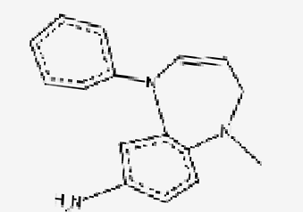 CN1CC=CN(c2ccccc2)c2cc(N)ccc21